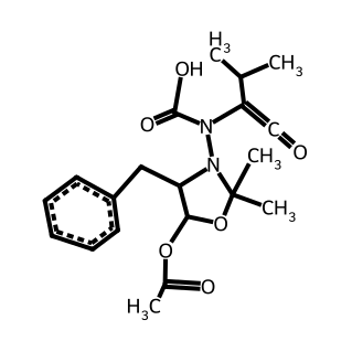 CC(=O)OC1OC(C)(C)N(N(C(=O)O)C(=C=O)C(C)C)C1Cc1ccccc1